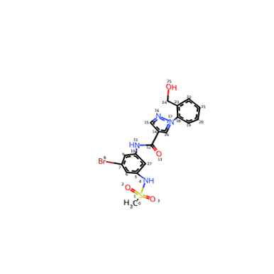 CS(=O)(=O)Nc1cc(Br)cc(NC(=O)c2cnn(-c3ccccc3CO)c2)c1